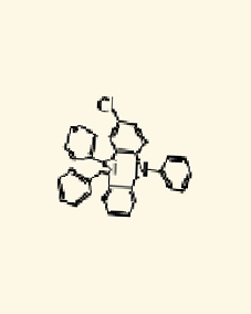 Clc1ccc2c(c1)[Si](c1ccccc1)(c1ccccc1)c1ccccc1N2c1ccccc1